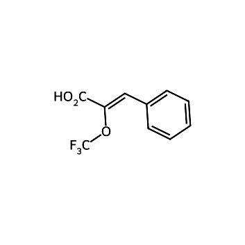 O=C(O)/C(=C/c1ccccc1)OC(F)(F)F